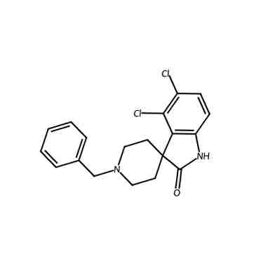 O=C1Nc2ccc(Cl)c(Cl)c2C12CCN(Cc1ccccc1)CC2